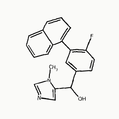 Cn1cncc1C(O)c1ccc(F)c(-c2cccc3ccccc23)c1